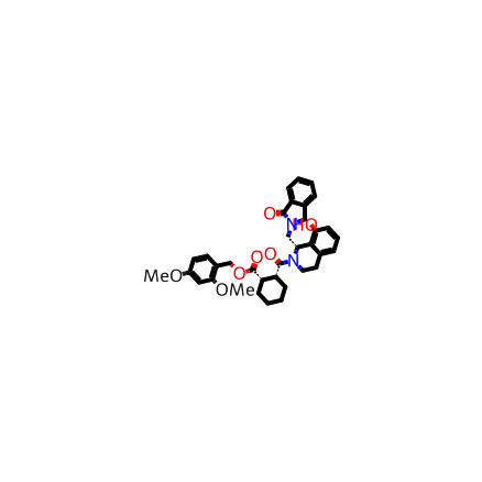 COc1ccc(COC(=O)[C@H]2CCCC[C@H]2C(=O)N2CCc3cccc(O)c3[C@H]2CN2Cc3ccccc3C2=O)c(OC)c1